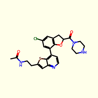 CC(=O)NCCc1cc2nccc(-c3cc(Cl)cc4c3OC(C(=O)N3CCNCC3)C4)c2s1